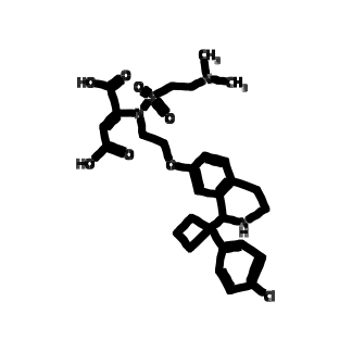 CN(C)CCS(=O)(=O)N(CCOc1ccc2c(c1)C(C1(c3ccc(Cl)cc3)CCC1)NCC2)/C(=C\C(=O)O)C(=O)O